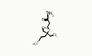 CCCC(CC)(CC)OCCC(N)=O